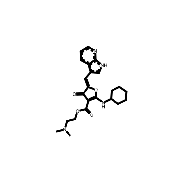 CN(C)CCOC(=O)C1=C(NC2CCCCC2)OC(=Cc2c[nH]c3ncccc23)C1=O